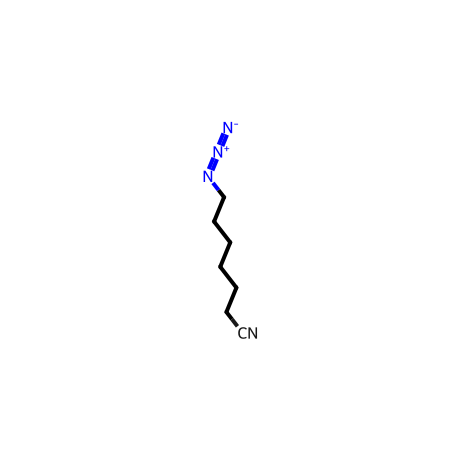 N#CCCCCCCN=[N+]=[N-]